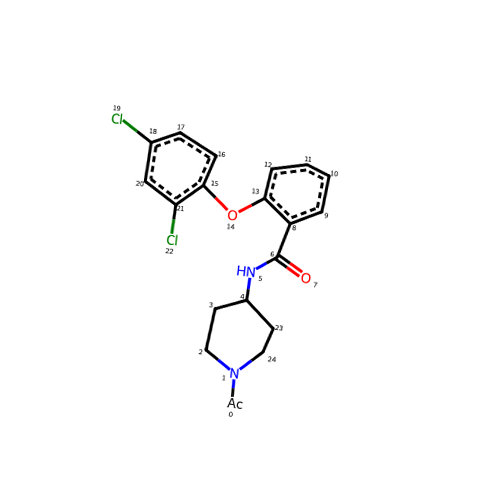 CC(=O)N1CCC(NC(=O)c2ccccc2Oc2ccc(Cl)cc2Cl)CC1